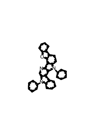 c1ccc(-n2c3ccccc3c3c2cnc2c4c5oc6ccccc6c5ccc4n(-c4ccccc4)c23)cc1